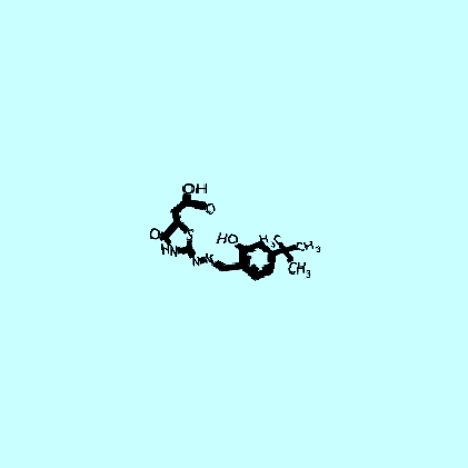 CC(C)(C)c1ccc(C=N/N=C2/NC(=O)C(CC(=O)O)S2)c(O)c1